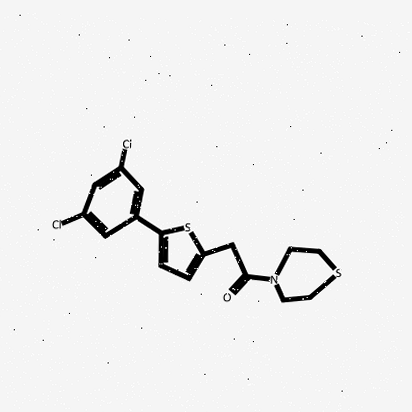 O=C(Cc1ccc(-c2cc(Cl)cc(Cl)c2)s1)N1CCSCC1